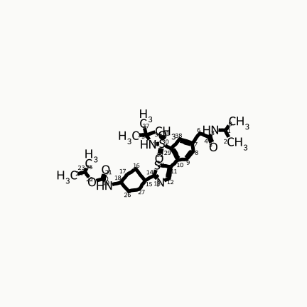 CC(C)NC(=O)Cc1ccc(-c2cnc(C3CCC(NC(=O)OC(C)C)CC3)s2)c(S(=O)(=O)NC(C)(C)C)c1